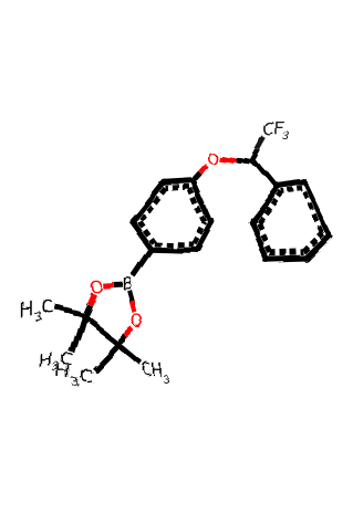 CC1(C)OB(c2ccc(OC(c3ccccc3)C(F)(F)F)cc2)OC1(C)C